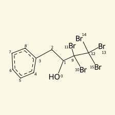 OC(Cc1ccccc1)C(Br)(Br)C(Br)(Br)Br